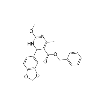 COC1=NC(C)=C(C(=O)OCc2ccccc2)C(c2ccc3c(c2)OCO3)N1